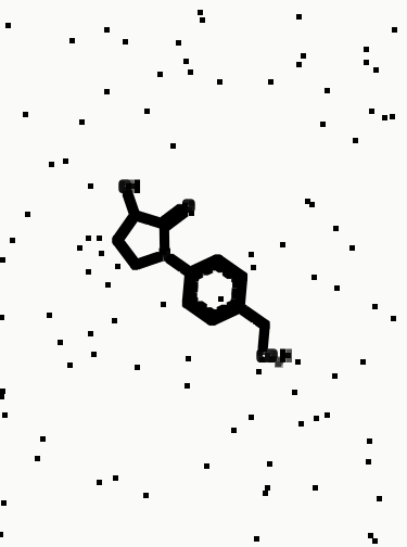 O=C(O)Cc1ccc(N2CCC(O)C2=O)cc1